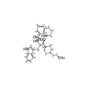 CC(=O)OCCC1CCN(C(=O)C(Cc2c[nH]c3ccccc23)NS(=O)(=O)c2cccc3c2NCCC3)CC1